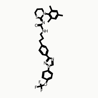 Cc1cc(C)c(N2CCCS/C2=N\C(=O)NCCCc2ccc(-c3ncn(-c4ccc(OC(F)(F)F)cc4)n3)cc2)c(C)c1